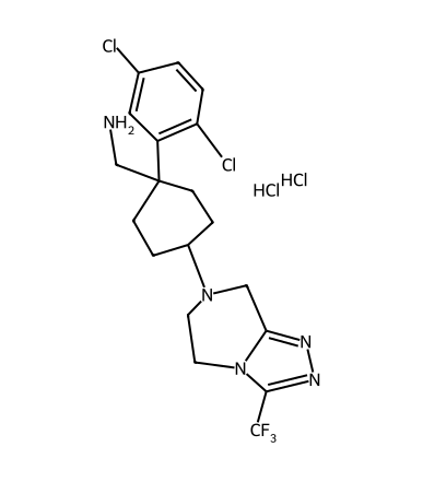 Cl.Cl.NCC1(c2cc(Cl)ccc2Cl)CCC(N2CCn3c(nnc3C(F)(F)F)C2)CC1